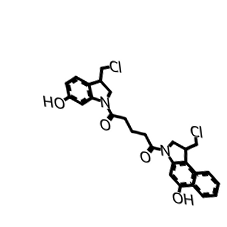 O=C(CCCC(=O)N1CC(CCl)c2c1cc(O)c1ccccc21)N1CC(CCl)c2ccc(O)cc21